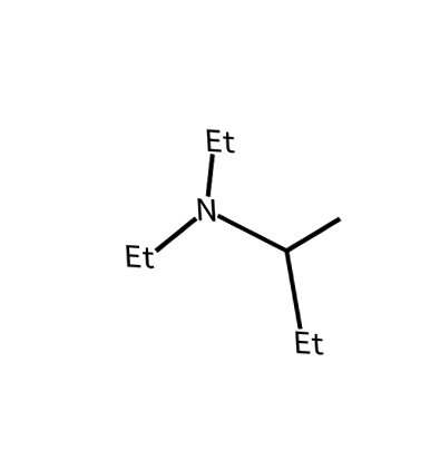 [CH2]CN(CC)C(C)CC